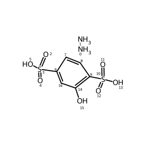 N.N.O=S(=O)(O)c1ccc(S(=O)(=O)O)c(O)c1